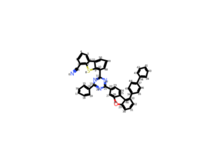 N#Cc1cccc2c1sc1c(-c3nc(-c4ccccc4)nc(-c4ccc5c(c4)oc4cccc(-c6ccc(-c7ccccc7)cc6)c45)n3)cccc12